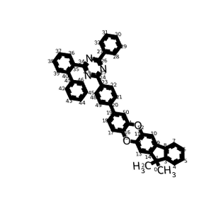 CC1(C)c2ccccc2-c2cc3c(cc21)Oc1ccc(-c2ccc(-c4nc(-c5ccccc5)nc(-c5ccccc5-c5ccccc5)n4)cc2)cc1O3